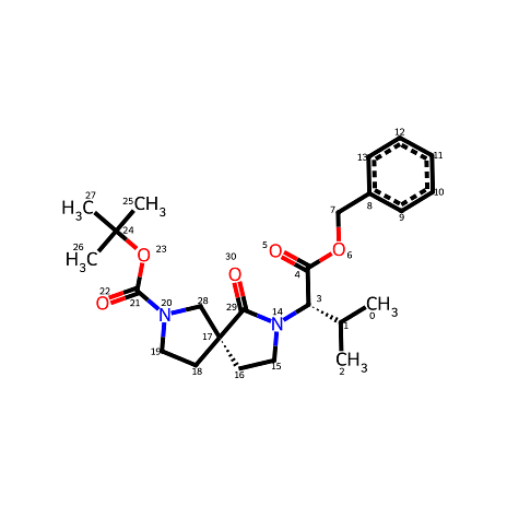 CC(C)[C@@H](C(=O)OCc1ccccc1)N1CC[C@@]2(CCN(C(=O)OC(C)(C)C)C2)C1=O